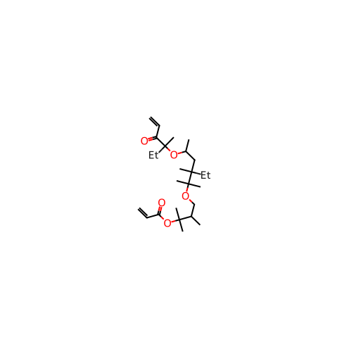 C=CC(=O)OC(C)(C)C(C)COC(C)(C)C(C)(CC)CC(C)OC(C)(CC)C(=O)C=C